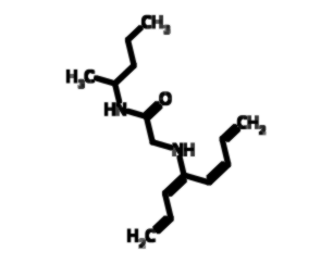 C=C/C=C\C(=C/C=C)NCC(=O)NC(C)CCC